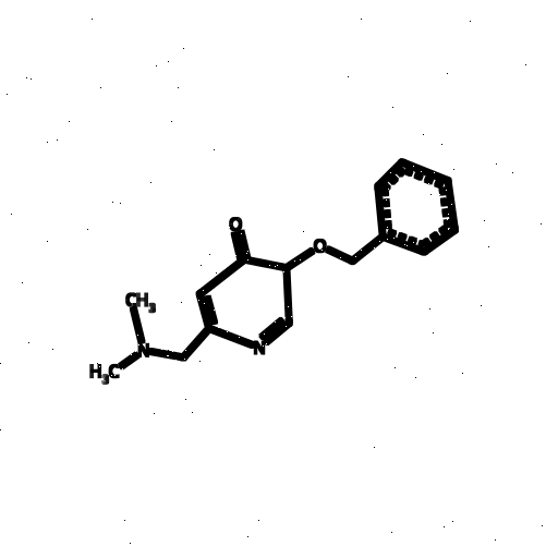 CN(C)CC1=CC(=O)C(OCc2ccccc2)C=N1